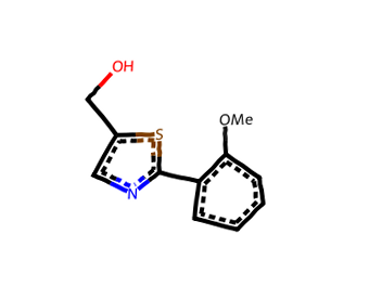 COc1ccccc1-c1ncc(CO)s1